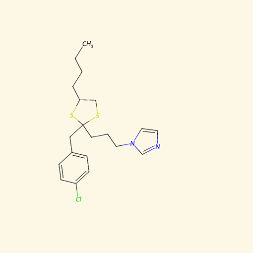 CCCCC1CSC(CCCn2ccnc2)(Cc2ccc(Cl)cc2)S1